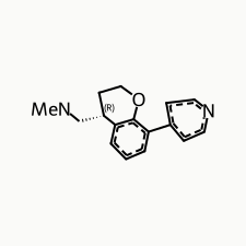 CNC[C@@H]1CCOc2c(-c3ccncc3)cccc21